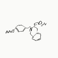 COc1ccc(CN2Cc3ccccc3CC2C(=O)O)cc1